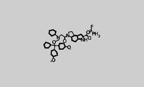 COc1ccc(C(OCN(CC(=O)N2CCc3c2ccc2[nH]c(C(=O)OP(F)P)cc32)c2ccccc2)(c2ccccc2)c2ccc(OC)cc2)cc1